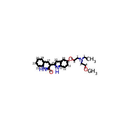 CCN(CCOC)CCOc1ccc2[nH]c(-c3cc4ccccc4[nH]c3=O)cc2c1